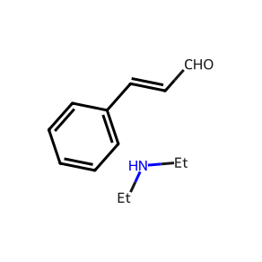 CCNCC.O=CC=Cc1ccccc1